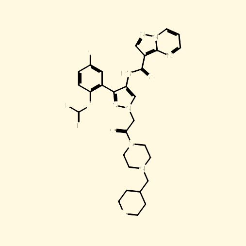 O=C(Nc1cn(CC(=O)N2CCN(CC3CCOCC3)CC2)nc1-c1cc(Cl)ccc1OC(F)F)c1cnn2cccnc12